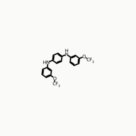 FC(F)(F)Oc1cccc(Nc2ccc(Nc3cccc(OC(F)(F)F)c3)cc2)c1